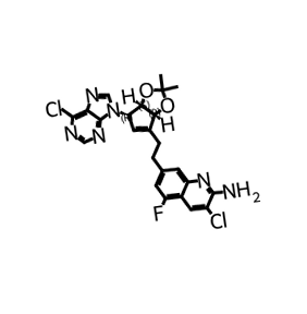 CC1(C)O[C@@H]2[C@H](O1)C(CCc1cc(F)c3cc(Cl)c(N)nc3c1)=C[C@H]2n1cnc2c(Cl)ncnc21